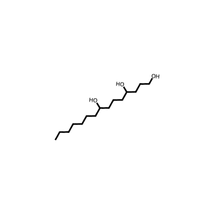 CCCCCCCC(O)CCCC(O)CCCO